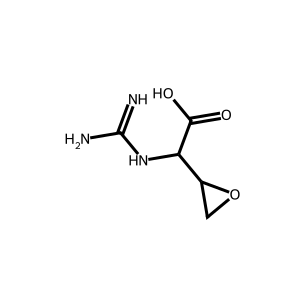 N=C(N)NC(C(=O)O)C1CO1